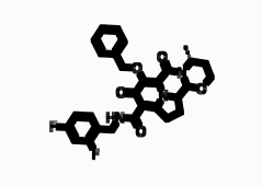 C[C@@H]1CCOC2C3CCc4c(C(=O)NCc5ccc(F)cc5F)c(=O)c(OCc5ccccc5)c(n43)C(=O)N21